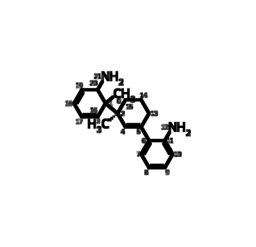 CC1([C@]2(C)C=C(c3ccccc3N)CCC2)C=CC=CC1N